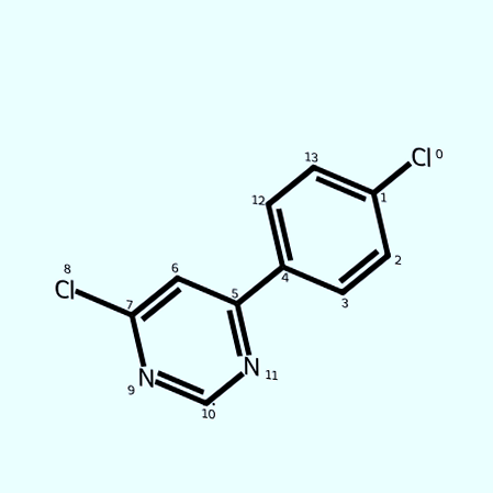 Clc1ccc(-c2cc(Cl)n[c]n2)cc1